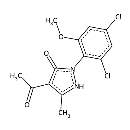 COc1cc(Cl)cc(Cl)c1-n1[nH]c(C)c(C(C)=O)c1=O